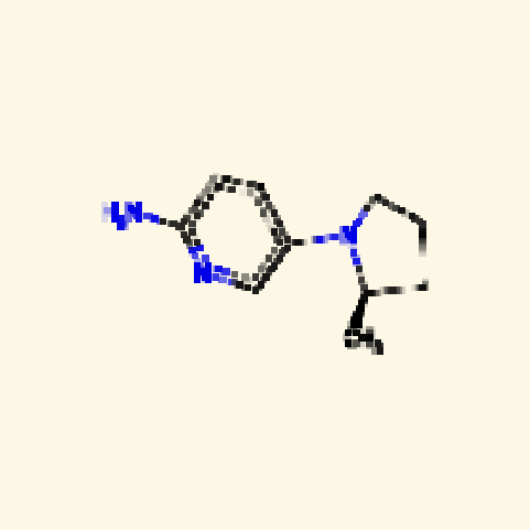 C[C@@H]1CCCN1c1ccc(N)nc1